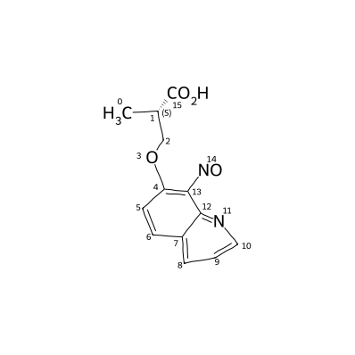 C[C@@H](COc1ccc2cccnc2c1N=O)C(=O)O